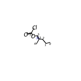 CCC/C(C)=C/OC(=O)Cl